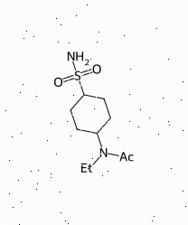 CCN(C(C)=O)C1CCC(S(N)(=O)=O)CC1